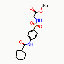 CC(C)(C)OC(=O)CNS(=O)(=O)c1ccc(NC(=O)C2CCCCC2)cc1